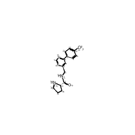 O=C(NCc1cc(-c2ccc(C(F)(F)F)cc2)ncn1)[C@@H]1CCCN1